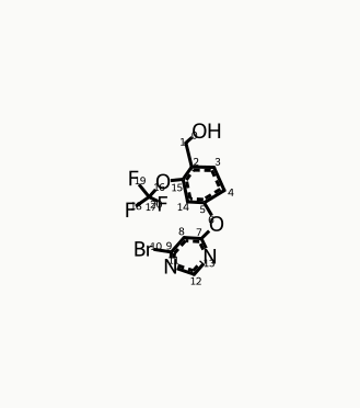 OCc1ccc(Oc2cc(Br)ncn2)cc1OC(F)(F)F